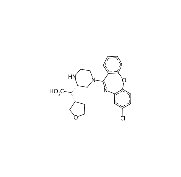 O=C(O)C([C@@H]1CCOC1)[C@H]1CN(C2=Nc3cc(Cl)ccc3Oc3ccccc32)CCN1